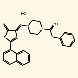 Cl.N=C(Nc1cccnc1)N1CCN(C=C2N=C(c3cccc4ccccc34)OC2=O)CC1